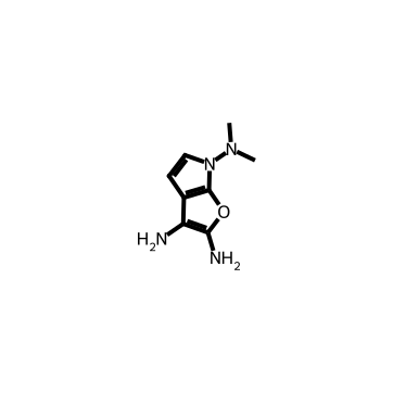 CN(C)n1ccc2c(N)c(N)oc21